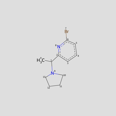 CC(c1cccc(Br)n1)N1CCCC1